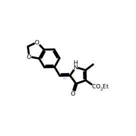 CCOC(=O)C1=C(C)N/C(=C\c2ccc3c(c2)OCO3)C1=O